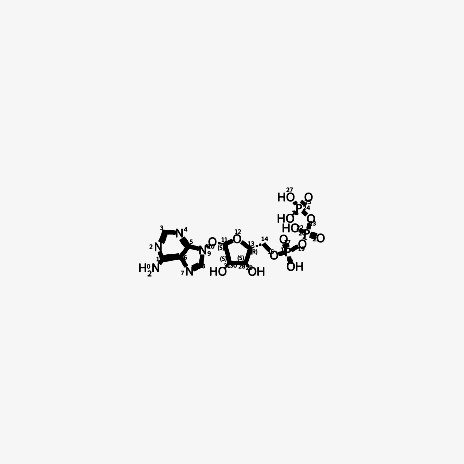 Nc1ncnc2c1ncn2O[C@@H]1O[C@H](COP(=O)(O)OP(=O)(O)OP(=O)(O)O)[C@@H](O)[C@@H]1O